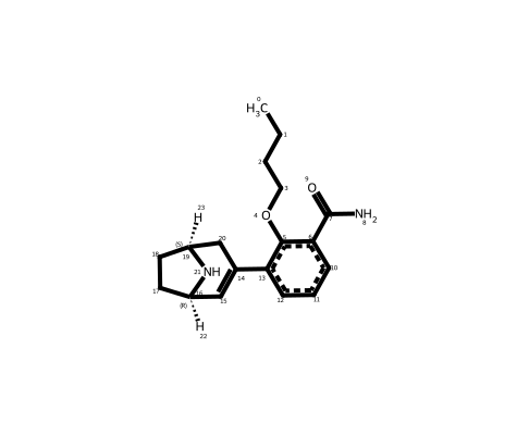 CCCCOc1c(C(N)=O)cccc1C1=C[C@H]2CC[C@@H](C1)N2